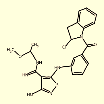 COC(C)NC(=N)c1c(O)nsc1Nc1cccc(C(=O)N2c3ccccc3CC2Cl)c1